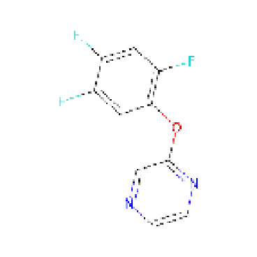 Fc1cc(F)c(Oc2cnccn2)cc1F